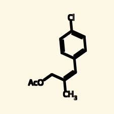 CC(=O)OCC(C)=Cc1ccc(Cl)cc1